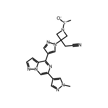 Cn1cc(-c2cn3nccc3c(-c3cnn(C4(CC#N)CN([S+](C)[O-])C4)c3)n2)cn1